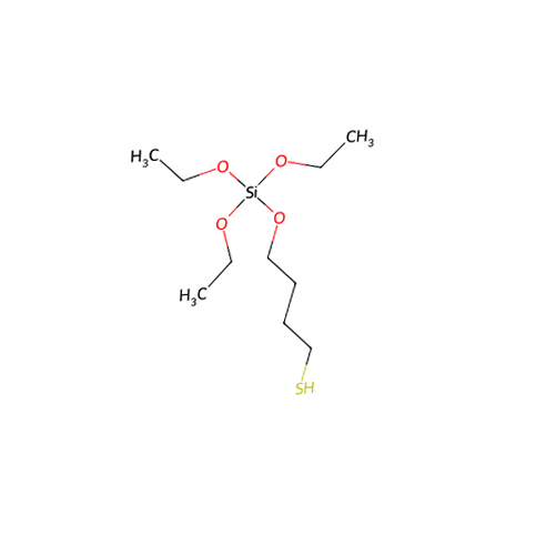 CCO[Si](OCC)(OCC)OCCCCS